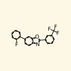 Fc1ccccc1-c1ccc2nc(-c3cccc(C(F)(F)F)c3)oc2c1